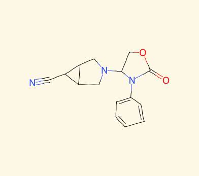 N#CC1C2CN(C3COC(=O)N3c3ccccc3)CC12